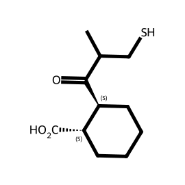 CC(CS)C(=O)[C@H]1CCCC[C@@H]1C(=O)O